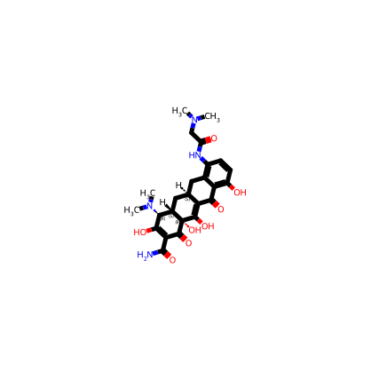 CN(C)CC(=O)Nc1ccc(O)c2c1C[C@@H]1C[C@H]3[C@@H](N(C)C)C(O)=C(C(N)=O)C(=O)[C@]3(O)C(O)=C1C2=O